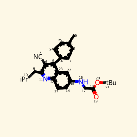 Cc1ccc(-c2c(C#N)c(CC(C)C)nc3ccc(NCC(=O)OC(C)(C)C)cc23)cc1